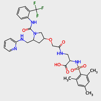 Cc1cc(C)c(S(=O)(=O)NC(CNC(=O)COC2CC(CNc3ccccn3)N(C(=O)Nc3ccccc3C(F)(F)F)C2)C(=O)O)c(C)c1